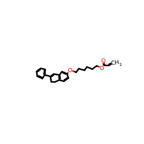 C=CC(=O)OCCCCCCOc1ccc2c(c1)C=C(c1ccccc1)CC2